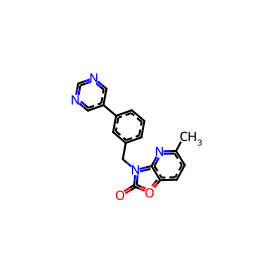 Cc1ccc2oc(=O)n(Cc3cccc(-c4cncnc4)c3)c2n1